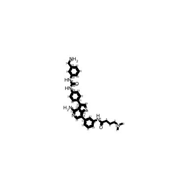 CN(C)CCCC(=O)Nc1cccc(-c2cnc(N)c3c(-c4ccc(NC(=O)Nc5cccc(CN)c5)cc4)csc23)c1